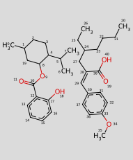 CC1CCC(C(C)C)C(OC(=O)c2ccccc2O)C1.CCCCC(CC)CC(=Cc1ccc(OC)cc1)C(=O)O